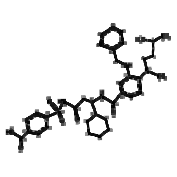 CC(C)CCN(C)c1ccc(C(=O)NC(CC(=O)NS(=O)(=O)c2ccc(C(=O)O)cc2)C2CCCCC2)cc1NCc1ccccc1